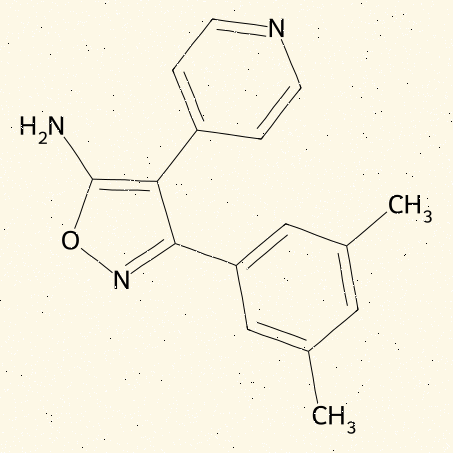 Cc1cc(C)cc(-c2noc(N)c2-c2ccncc2)c1